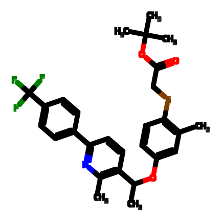 Cc1cc(OC(C)c2ccc(-c3ccc(C(F)(F)F)cc3)nc2C)ccc1SCC(=O)OC(C)(C)C